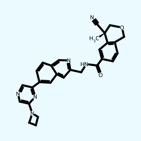 C[C@@]1(C#N)COCc2ccc(C(=O)NCc3cc4cc(-c5cncc(N6CCC6)n5)ccc4cn3)cc21